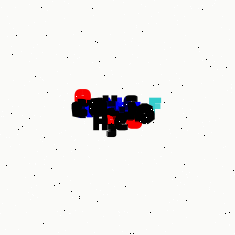 Cc1c(C(C)NC(=O)Nc2ccc(N3CCCC3=O)cc2)oc2ccc(F)cc12